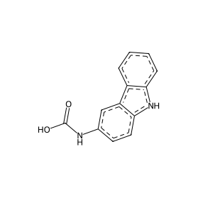 O=C(O)Nc1ccc2[nH]c3ccccc3c2c1